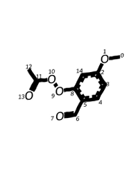 COc1ccc(C=O)c(OOC(C)=O)c1